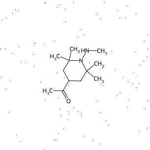 CNN1C(C)(C)CC(C(C)=O)CC1(C)C